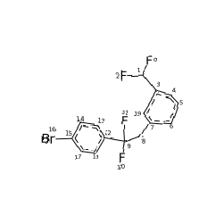 FC(F)c1cccc([CH]C(F)(F)c2ccc(Br)cc2)c1